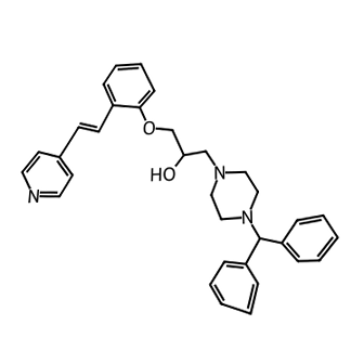 OC(COc1ccccc1/C=C/c1ccncc1)CN1CCN(C(c2ccccc2)c2ccccc2)CC1